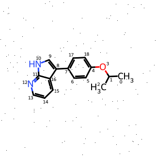 CC(C)Oc1ccc(-c2c[nH]c3ncccc23)cc1